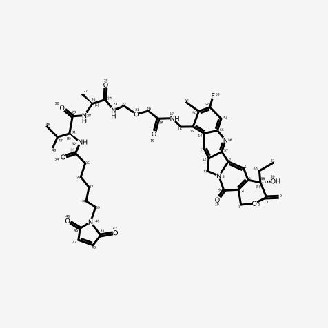 C=C1OCc2c(cc3n(c2=O)Cc2cc4c(CNC(=O)COCNC(=O)[C@H](C)NC(=O)[C@@H](NC(=O)CCCCCN5C(=O)C=CC5=O)C(C)C)c(C)c(F)cc4nc2-3)[C@@]1(O)CC